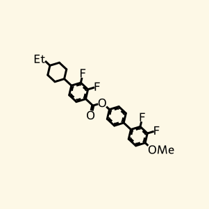 CCC1CCC(c2ccc(C(=O)Oc3ccc(-c4ccc(OC)c(F)c4F)cc3)c(F)c2F)CC1